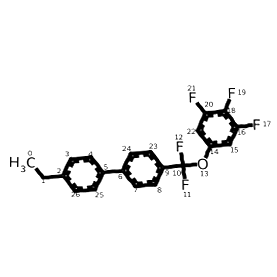 CCc1ccc(-c2ccc(C(F)(F)Oc3cc(F)c(F)c(F)c3)cc2)cc1